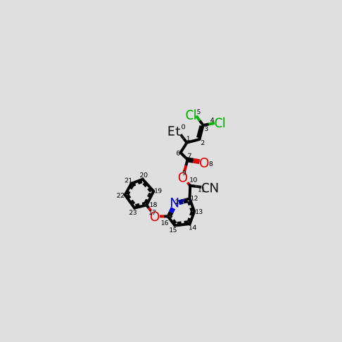 CCC(C=C(Cl)Cl)CC(=O)OC(C#N)c1cccc(Oc2ccccc2)n1